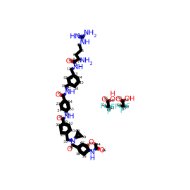 N=C(N)NCCC[C@H](N)C(=O)NCc1cccc(CNC(=O)c2ccc(NC(=O)c3ccc(CN(C(=O)c4ccc5c(c4)OCC(=O)N5)C4CC4)cc3)cc2)c1.O=C(O)C(F)(F)F.O=C(O)C(F)(F)F